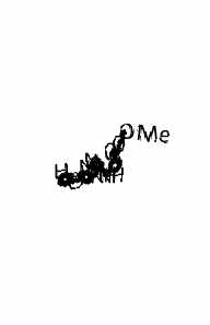 COCCOCC(=O)N1CCC[C@@H](C(=N)c2ccnc(N)c2Nc2ccc(Oc3ccccc3)cc2)C1